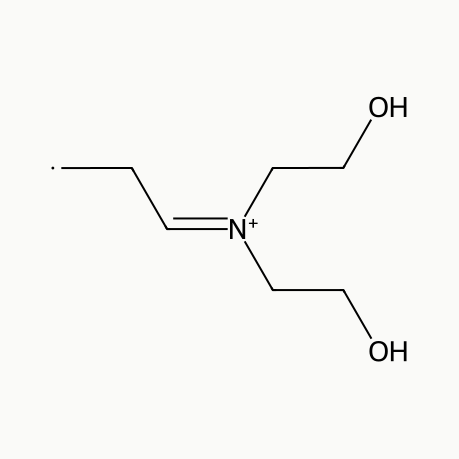 [CH2]CC=[N+](CCO)CCO